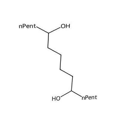 CCCCCC(O)CCCCC(O)CCCCC